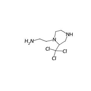 NCCN1CCNCC1C(Cl)(Cl)Cl